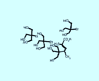 CC(=CC(C)C(CO)(CO)CO)C(=O)O.CCC(CO)(CO)CO.CCC(CO)(CO)CO.CCC(CO)(CO)CO